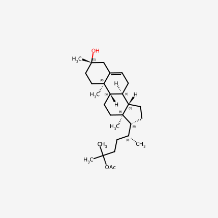 CC(=O)OC(C)(C)CC[C@@H](C)[C@H]1CC[C@H]2[C@@H]3CC=C4C[C@@](C)(O)CC[C@]4(C)[C@H]3CC[C@]12C